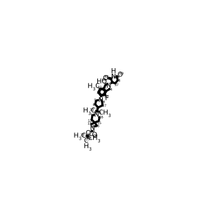 Cc1cc(N2CCC(C(C)(C)N3CCC4(CC3)CN(C(=O)OC(C)(C)C)C4)CC2)c(F)c2c1C(O)N(C1CCC(=O)NC1=O)C2